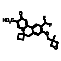 CC1(COc2cc3c(cc2C(F)F)-c2cc(=O)c(C(=O)O)cn2C2(CCC2)C3)COC1